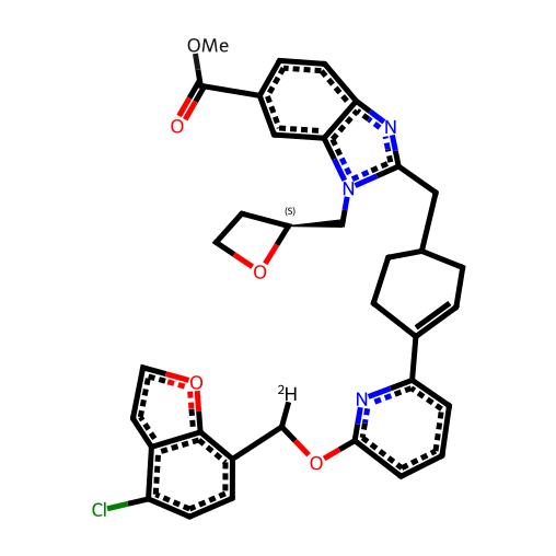 [2H]C(Oc1cccc(C2=CCC(Cc3nc4ccc(C(=O)OC)cc4n3C[C@@H]3CCO3)CC2)n1)c1ccc(Cl)c2ccoc12